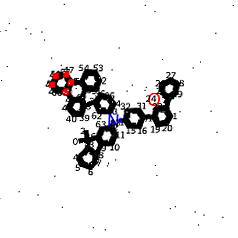 CC1(C)c2ccccc2-c2ccc(N(c3ccc(-c4cccc5c4oc4ccccc45)cc3)c3cccc(-c4cccc(-c5ccccc5)c4-c4ccccc4-c4ccccc4)c3)cc21